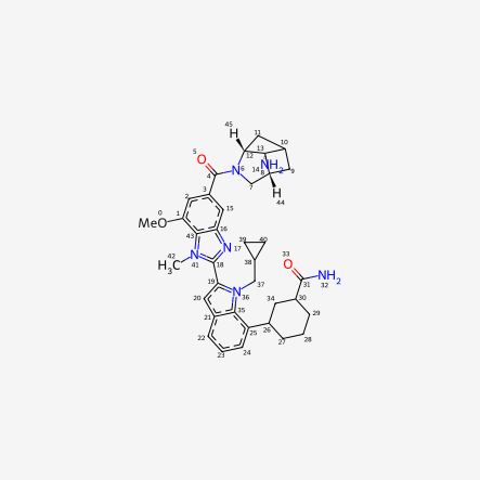 COc1cc(C(=O)N2C[C@H]3CC4C[C@@H]2[C@@]43N)cc2nc(-c3cc4cccc(C5CCCC(C(N)=O)C5)c4n3CC3CC3)n(C)c12